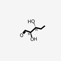 CC[C@@H](O)[C@@H](O)C=O